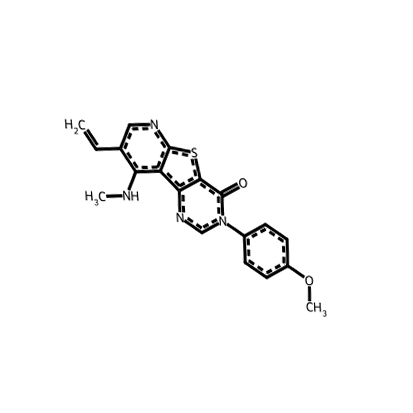 C=Cc1cnc2sc3c(=O)n(-c4ccc(OC)cc4)cnc3c2c1NC